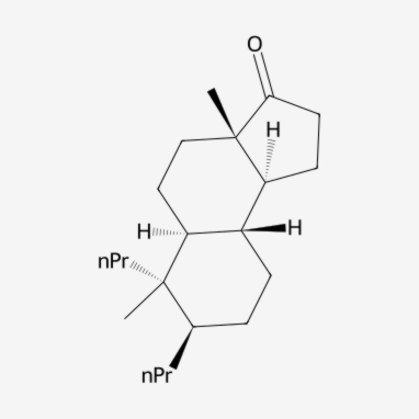 CCC[C@@H]1CC[C@@H]2[C@H](CC[C@]3(C)C(=O)CC[C@@H]23)[C@@]1(C)CCC